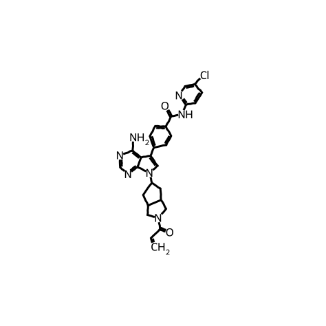 C=CC(=O)N1CC2CC(n3cc(-c4ccc(C(=O)Nc5ccc(Cl)cn5)cc4)c4c(N)ncnc43)CC2C1